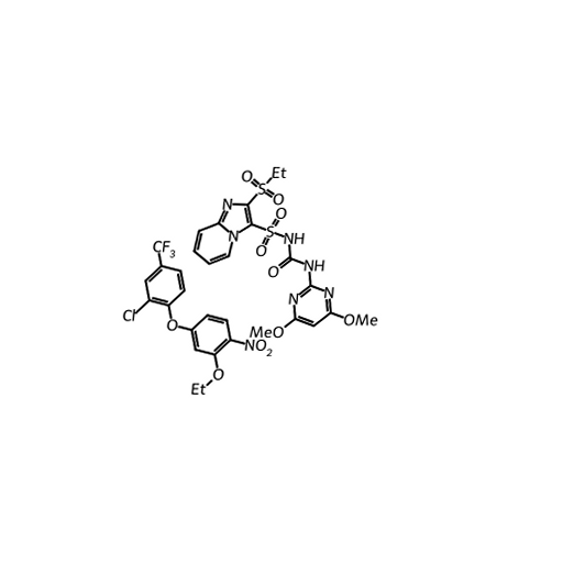 CCOc1cc(Oc2ccc(C(F)(F)F)cc2Cl)ccc1[N+](=O)[O-].CCS(=O)(=O)c1nc2ccccn2c1S(=O)(=O)NC(=O)Nc1nc(OC)cc(OC)n1